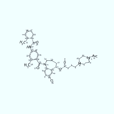 CC(=O)N1CCN(CCCC(=O)OC2CCCN(C(=O)c3ccc(NC(=O)c4ccccc4C)cc3C)c3ccc(Cl)cc32)CC1